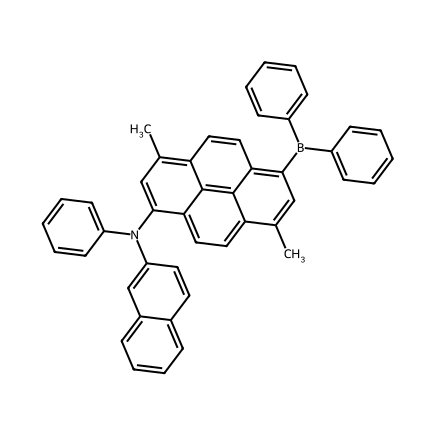 Cc1cc(B(c2ccccc2)c2ccccc2)c2ccc3c(C)cc(N(c4ccccc4)c4ccc5ccccc5c4)c4ccc1c2c34